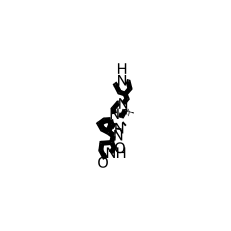 C[C@@H]1CN(c2cccc3c(C4CCC(=O)NC4=O)nn(C)c23)CCN1CC1CCNCC1